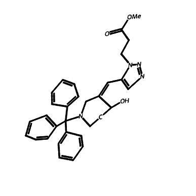 COC(=O)CCn1nncc1C=C1CN(C(c2ccccc2)(c2ccccc2)c2ccccc2)CCC1O